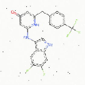 O=c1cc(Cc2ccc(C(F)(F)F)cc2)[nH]c(Nc2c[nH]c3cc(F)c(F)cc23)c1